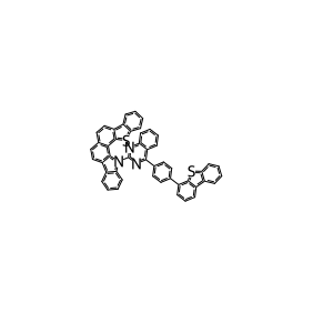 c1ccc2c(-c3ccc(-c4cccc5c4sc4ccccc45)cc3)nc(-n3c4ccccc4c4ccc5ccc6c7ccccc7sc6c5c43)nc2c1